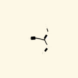 N#C/C(N=N)=N\N